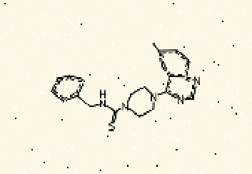 Cc1ccc2ncnc(N3CCN(C(=S)NCc4ccccc4)CC3)c2c1